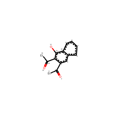 CCC(=O)c1cc2ccccc2c([O])c1C(=O)CC